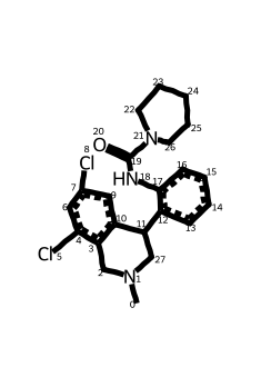 CN1Cc2c(Cl)cc(Cl)cc2C(c2ccccc2NC(=O)N2CCCCC2)C1